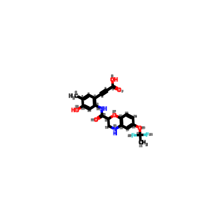 Cc1cc(C#CC(=O)O)c(NC(=O)C2CNc3cc(OC(C)(F)F)ccc3O2)cc1O